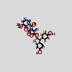 COc1ccc(C(c2ccc(OC)cc2)[C@H](C)OC(=O)[C@H](C)n2c(=O)oc3c(OC)ccnc3c2=O)cc1